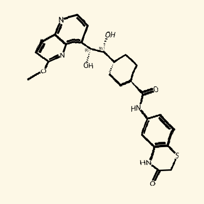 COc1ccc2nccc([C@@H](O)[C@H](O)[C@H]3CC[C@H](C(=O)Nc4ccc5c(c4)NC(=O)CS5)CC3)c2n1